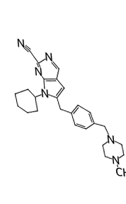 CN1CCN(Cc2ccc(Cc3cc4cnc(C#N)nc4n3C3CCCCC3)cc2)CC1